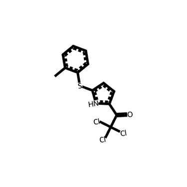 Cc1ccccc1Sc1ccc(C(=O)C(Cl)(Cl)Cl)[nH]1